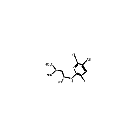 CC(C)[C@H](CN(C(=O)O)C(C)(C)C)Nc1nc(Cl)c(C#N)cc1F